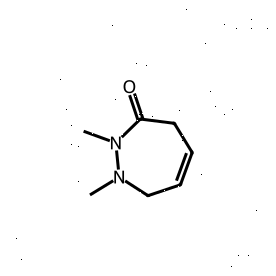 CN1CC=CCC(=O)N1C